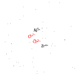 [Al+3].[O-2].[O-2].[Zr+4]